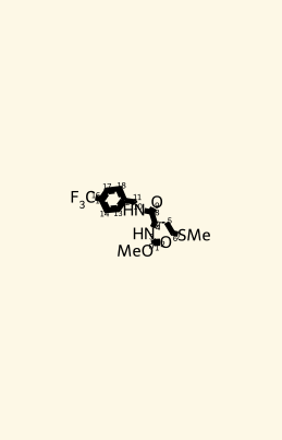 COC(=O)N[C@@H](CCSC)C(=O)NCc1ccc(C(F)(F)F)cc1